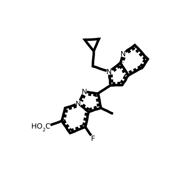 Cc1c(-c2cc3cccnc3n2CC2CC2)nn2cc(C(=O)O)cc(F)c12